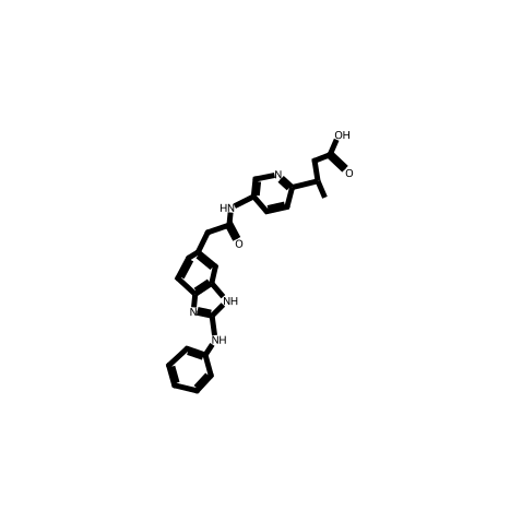 CC(CC(=O)O)c1ccc(NC(=O)Cc2ccc3nc(Nc4ccccc4)[nH]c3c2)cn1